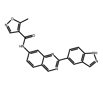 Cc1oncc1C(=O)Nc1ccc2cnc(-c3ccc4[nH]ncc4c3)nc2c1